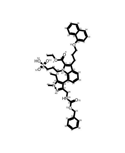 CCOC(=O)c1c(CCCOc2cccc3ccccc23)c2cccc(-c3c(CNC(=O)OCc4ccccc4)nn(C)c3CC)c2n1CCCS(=O)(=O)O